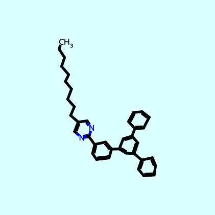 CCCCCCCCCCc1cnc(-c2cccc(-c3cc(-c4ccccc4)cc(-c4ccccc4)c3)c2)nc1